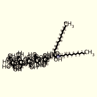 CCCCCCCCCCCCC/C=C/[C@@H](O)[C@H](CO[C@@H]1OC(CO)[C@@H](O[C@@H]2OC(CO)[C@H](O[C@@H]3OC(CO)[C@H](O)[C@H](O[C@@H]4OC(CO)[C@H](O)[C@H](O[C@H]5OC(CO)[C@H](O)[C@H](O)C5NC(C)=O)C4NC(C)=O)C3O)[C@H](O)C2O)[C@H](O)C1O)NC(=O)CCCCCCCCCCCCCCC